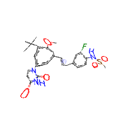 COc1c(/C=C/c2ccc(NS(C)(=O)=O)c(F)c2)cc(-n2ccc(=O)[nH]c2=O)cc1C(C)(C)C